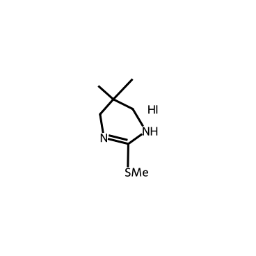 CSC1=NCC(C)(C)CN1.I